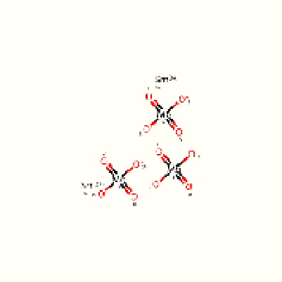 [O]=[Mo](=[O])([O-])[O-].[O]=[Mo](=[O])([O-])[O-].[O]=[Mo](=[O])([O-])[O-].[Sm+3].[Sm+3]